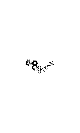 CN(COCC[Si](C)(C)C)C(=O)OC1OCCc2c1cccc2-n1cccn1